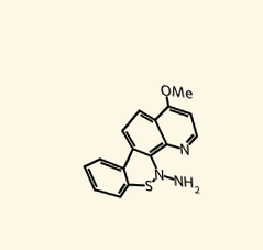 COc1ccnc2c3c(ccc12)-c1ccccc1SN3N